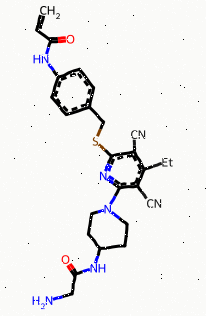 C=CC(=O)Nc1ccc(CSc2nc(N3CCC(NC(=O)CN)CC3)c(C#N)c(CC)c2C#N)cc1